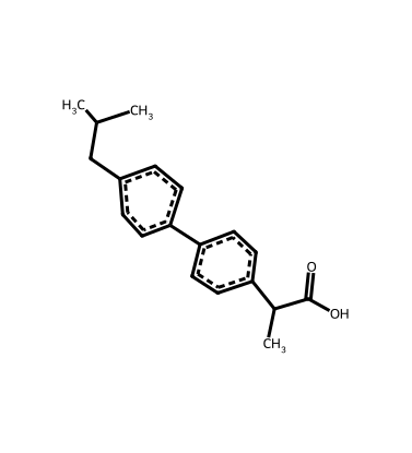 CC(C)Cc1ccc(-c2ccc(C(C)C(=O)O)cc2)cc1